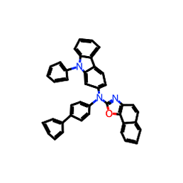 c1ccc(-c2ccc(N(c3ccc4c5ccccc5n(-c5ccccc5)c4c3)c3nc4ccc5ccccc5c4o3)cc2)cc1